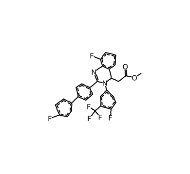 COC(=O)CC1c2cccc(F)c2N=C(c2ccc(-c3ccc(F)cc3)cc2)N1c1ccc(F)c(C(F)(F)F)c1